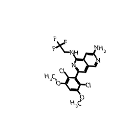 COc1cc(OC)c(Cl)c(-c2cc3cnc(N)cc3c(NCC(F)(F)F)n2)c1Cl